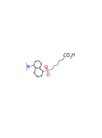 CN(C)c1cccc2c(S(=O)(=O)CCCCCC(=O)O)cccc12